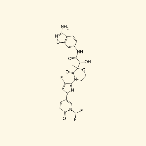 CC1([C@@H](O)C(=O)Nc2ccc3c(N)noc3c2)OCCN(c2nn(-c3ccc(=O)n(C(F)F)c3)cc2F)C1=O